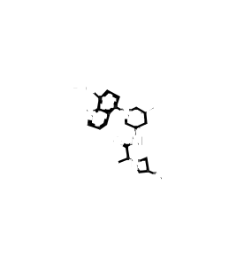 CC(C(=O)N[C@@H]1C[C@H](C)CN(c2ccc(C(F)(F)F)c3ncccc23)C1)N1CC(N)C1